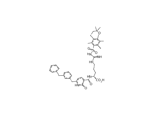 Cc1c(C)c(S(=O)(=O)NC(=N)NCCC[C@H](NC(=O)c2ccc(Cc3cccc(Cc4ccccc4)c3)[nH]c2=O)C(=O)O)c(C)c2c1OC(C)(C)CC2